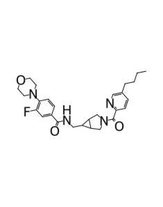 CCCCc1ccc(C(=O)N2CC3C(CNC(=O)c4ccc(N5CCOCC5)c(F)c4)C3C2)nc1